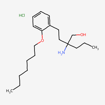 CCCCCCCOc1ccccc1CCC(N)(CO)CCC.Cl